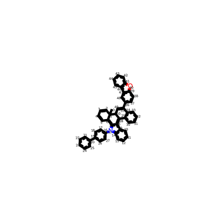 CC12C=CC=CC1=c1c(c3ccccc3n1-c1ccc(-c3ccccc3)cc1)=C1c3ccccc3C(c3ccc4oc5ccccc5c4c3)=CC12